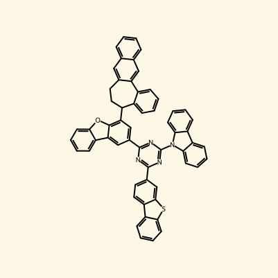 c1ccc2c(c1)-c1cc3ccccc3cc1CCC2c1cc(-c2nc(-c3ccc4c(c3)sc3ccccc34)nc(-n3c4ccccc4c4ccccc43)n2)cc2c1oc1ccccc12